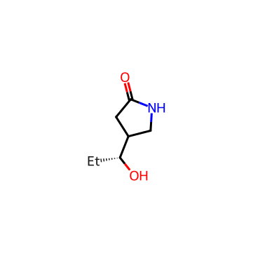 CC[C@@H](O)C1CNC(=O)C1